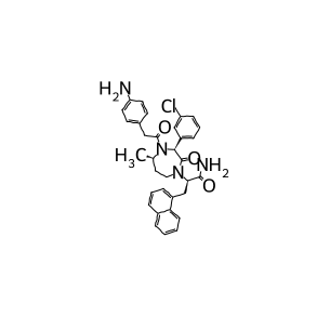 C[C@@H]1CCN([C@H](Cc2cccc3ccccc23)C(N)=O)C(=O)[C@H](c2cccc(Cl)c2)N1C(=O)Cc1ccc(N)cc1